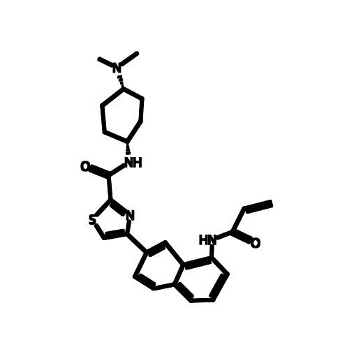 C=CC(=O)Nc1cccc2ccc(-c3csc(C(=O)N[C@H]4CC[C@@H](N(C)C)CC4)n3)cc12